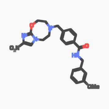 COc1cccc(CNC(=O)c2ccc(CN3CCOc4nc([N+](=O)[O-])cn4CC3)cc2)c1